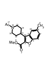 COC(=O)c1oc2ccc(C)cc2c1C1CCN(C(C)=O)CC1